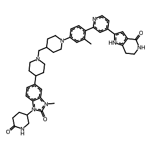 Cc1cc(N2CCC(CN3CCC(c4ccc5c(c4)n(C)c(=O)n5C4CCC(=O)NC4)CC3)CC2)ccc1-c1cc(-c2cc3c([nH]2)CCNC3=O)ccn1